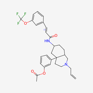 C=CCN1CCC2(c3cccc(OC(C)=O)c3)CC(NC(=O)/C=C/c3cccc(OC(F)(F)F)c3)CCC2C1